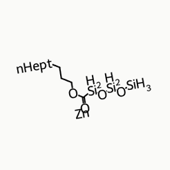 CCCCCCCCCCOC(=O)[SiH2]O[SiH2]O[SiH3].[Zn]